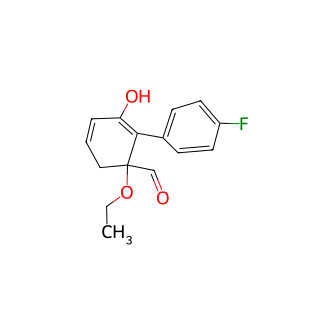 CCOC1(C=O)CC=CC(O)=C1c1ccc(F)cc1